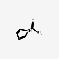 NC(=O)[SH]1C=CC=C1